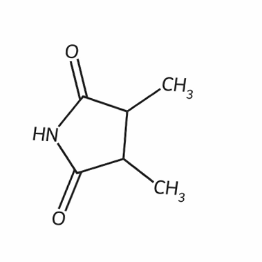 CC1C(=O)NC(=O)C1C